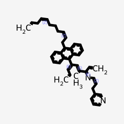 C=C\C=C(/C=C(C)/C(C=C)=N/C=C\Cc1cccnc1)c1c2ccccc2c(C/C=C\CCC/C=C\CC=C)c2ccccc12